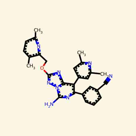 Cc1cc(-c2c(-c3cccc(C#N)c3)nc(N)n3nc(OCc4nc(C)ccc4C)nc23)cc(C)n1